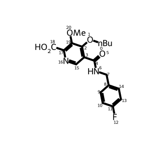 CCCCOc1c(C(=O)NCc2ccc(F)cc2)cnc(C(=O)O)c1OC